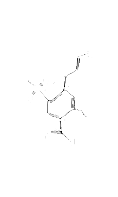 CC/C=C/Cc1cc(C)c(C(=O)Cl)cc1S(C)(=O)=O